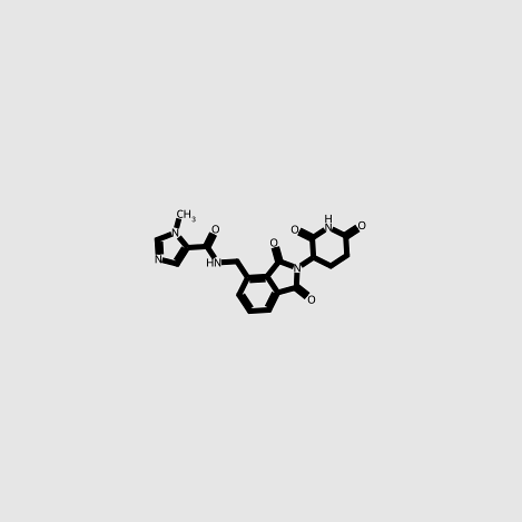 Cn1cncc1C(=O)NCc1cccc2c1C(=O)N(C1CCC(=O)NC1=O)C2=O